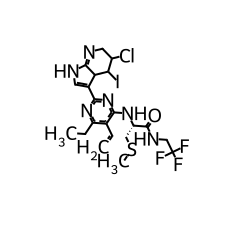 C=Cc1c(CC)nc(C2=CNC3=NCC(Cl)C(I)C23)nc1N[C@@H](CSC)C(=O)NCC(F)(F)F